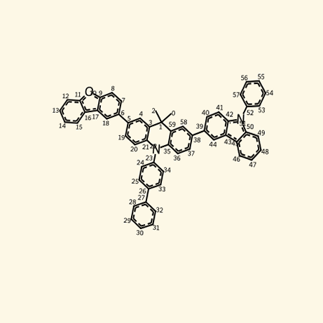 CC1(C)c2cc(-c3ccc4oc5ccccc5c4c3)ccc2N(c2ccc(-c3ccccc3)cc2)c2ccc(-c3ccc4c(c3)c3ccccc3n4-c3ccccc3)cc21